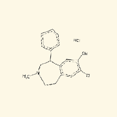 CN1CCc2cc(Cl)c(O)cc2C(c2ccccc2)C1.Cl